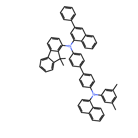 Cc1cc(C)cc(N(c2ccc(-c3ccc(N(c4cccc5c4C(C)(C)c4ccccc4-5)c4cc(-c5ccccc5)cc5ccccc45)cc3)cc2)c2cccc3ccccc23)c1